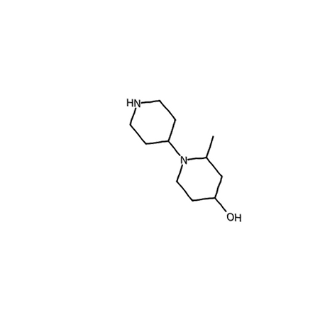 CC1CC(O)CCN1C1CCNCC1